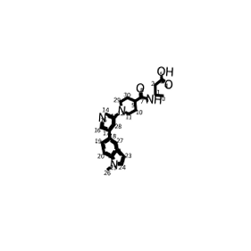 CC(CC(=O)O)NC(=O)C1CCN(c2cncc(-c3ccc4c(ccn4C)c3)c2)CC1